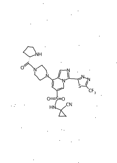 N#CC1(NS(=O)(=O)c2cc(N3CCN(C(=O)[C@@H]4CCCN4)CC3)c3cnc(-c4nnc(C(F)(F)F)s4)n3c2)CC1